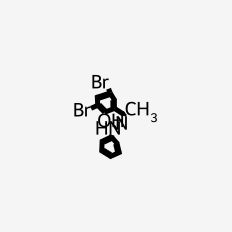 CC(=NNc1ccccc1)c1cc(Br)cc(Br)c1O